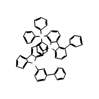 c1ccc(-c2cccc(-n3c4ccccc4c4ccc(-n5c6cccc(-c7ccccc7)c6c6cccc([Si](c7ccccc7)(c7ccccc7)c7ccccc7)c65)cc43)c2)cc1